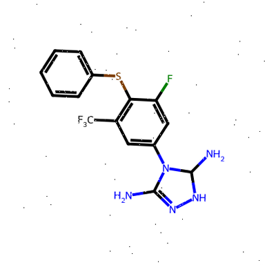 NC1=NNC(N)N1c1cc(F)c(Sc2ccccc2)c(C(F)(F)F)c1